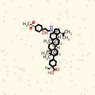 C=C(C)[C@@H]1CC[C@]2(NCC[C@]3(O)CC[C@H](S(C)(=O)=O)CC3)CC[C@]3(C)[C@H](CC[C@@H]4[C@@]5(C)CC=C(C6=CC[C@](CF)(C(=O)O)CC6)C(C)(C)[C@@H]5CC[C@]43C)[C@@H]12